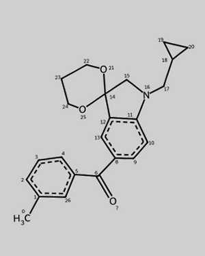 Cc1cccc(C(=O)c2ccc3c(c2)C2(CN3CC3CC3)OCCCO2)c1